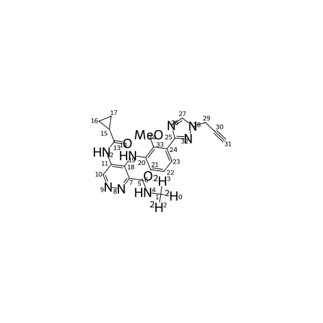 [2H]C([2H])([2H])NC(=O)c1nncc(NC(=O)C2CC2)c1Nc1cccc(-c2ncn(CC#C)n2)c1OC